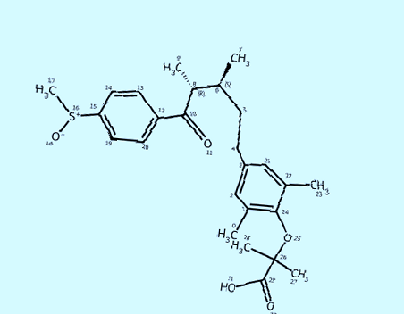 Cc1cc(CC[C@H](C)[C@@H](C)C(=O)c2ccc([S+](C)[O-])cc2)cc(C)c1OC(C)(C)C(=O)O